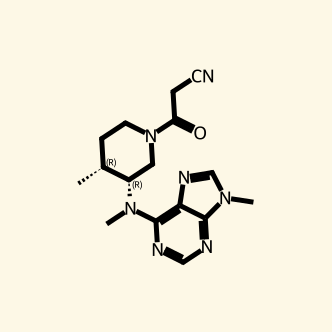 C[C@@H]1CCN(C(=O)CC#N)C[C@@H]1N(C)c1ncnc2c1ncn2C